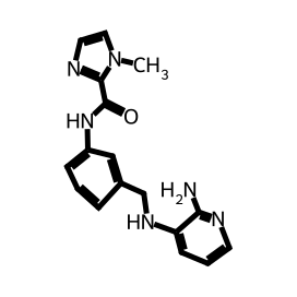 Cn1ccnc1C(=O)Nc1cccc(CNc2cccnc2N)c1